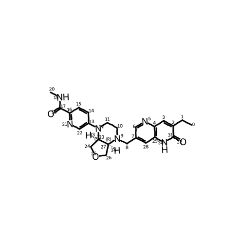 CCc1cc2ncc(CN3CCN(c4ccc(C(=O)NC)nc4)[C@@H]4COC[C@@H]43)cc2[nH]c1=O